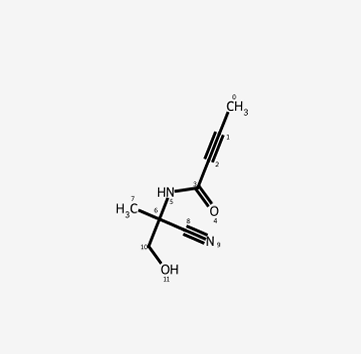 CC#CC(=O)NC(C)(C#N)CO